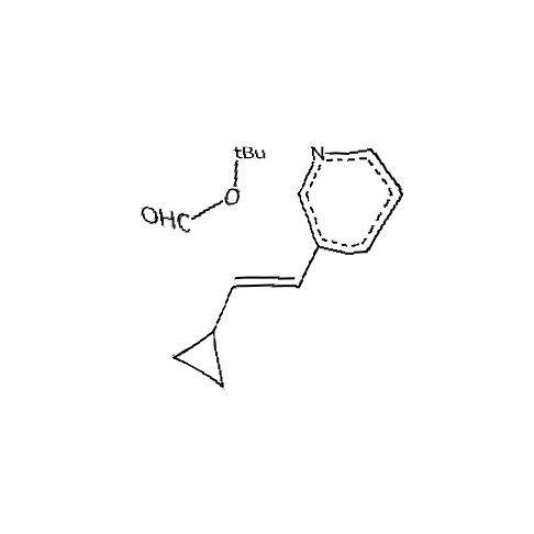 C(=CC1CC1)c1cccnc1.CC(C)(C)OC=O